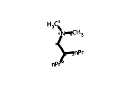 CCCC(CCC)CN(C)C